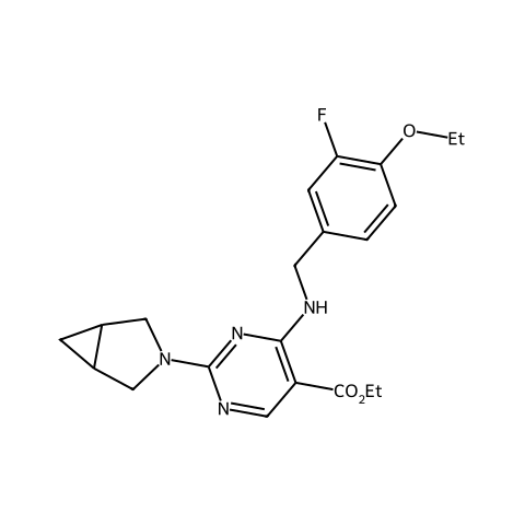 CCOC(=O)c1cnc(N2CC3CC3C2)nc1NCc1ccc(OCC)c(F)c1